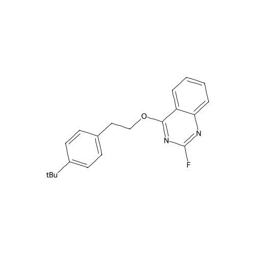 CC(C)(C)c1ccc(CCOc2nc(F)nc3ccccc23)cc1